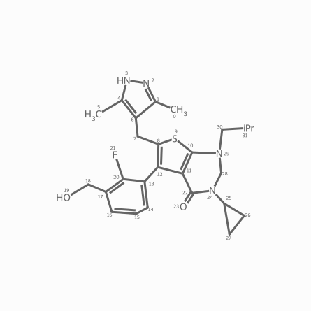 Cc1n[nH]c(C)c1Cc1sc2c(c1-c1cccc(CO)c1F)C(=O)N(C1CC1)CN2CC(C)C